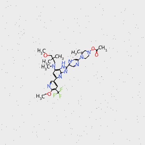 CCOc1ncc(-c2cc(N(C)CC(C)(C)COC)c3[nH]c(-c4cnc(N5CCN(OC(C)=O)C[C@H]5C)cn4)nc3n2)cc1C(F)(F)F